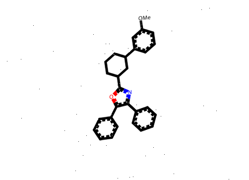 COc1cccc(C2CCCC(c3nc(-c4ccccc4)c(-c4ccccc4)o3)C2)c1